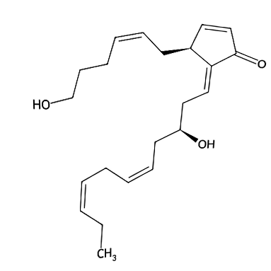 CC/C=C\C/C=C\C[C@H](O)C/C=C1/C(=O)C=C[C@@H]1C/C=C\CCCO